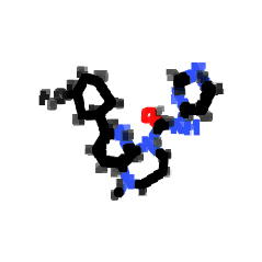 CN1CCCN(C(=O)Nc2ccncn2)c2nc(C3CCCC(C(F)(F)F)C3)ccc21